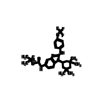 CC1(C)CC(n2c(Nc3ccc(OC(F)(F)F)cc3)nc3cc(NC(=O)OC(C)(C)C)ccc32)CC(C)(C)C1